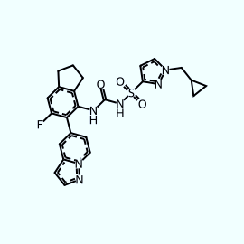 O=C(Nc1c2c(cc(F)c1-c1ccn3nccc3c1)CCC2)NS(=O)(=O)c1ccn(CC2CC2)n1